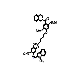 CNc1cc(OCCCCCOc2cc(/N=C\C3Cc4ccccc4N3C)c(C=O)cc2OC)c(OC)cc1C(=O)N1CCc2ccccc2C1